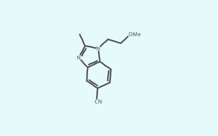 COCCn1c(C)nc2cc(C#N)ccc21